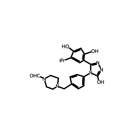 CC(C)c1cc(-c2nnc(O)n2-c2ccc(CN3CCN(C=O)CC3)cc2)c(O)cc1O